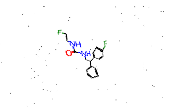 O=C(NCCF)NCC(c1ccccc1)c1ccc(F)cc1